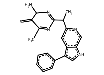 CC(C1=NC(N)C(=S)C(C(F)(F)F)=N1)c1cc2c(-c3ccccc3)c[nH]c2cn1